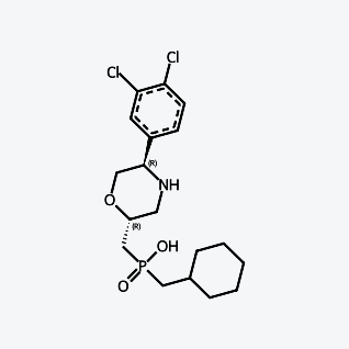 O=P(O)(CC1CCCCC1)C[C@H]1CN[C@H](c2ccc(Cl)c(Cl)c2)CO1